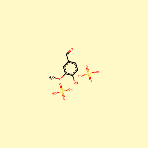 COc1cc(C=O)ccc1O.O=S(=O)(O)O.O=S(=O)(O)O